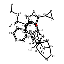 CCOC(=O)c1ccc2nc(N3C4CCC3CC(OCc3c(-c5ccccc5OC(F)F)noc3C3CC3)C4)sc2c1